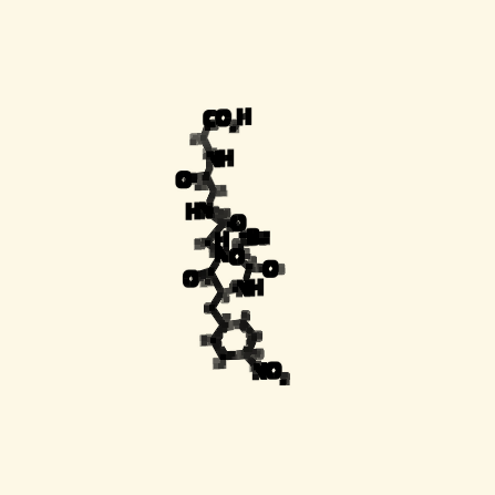 CC(C)(C)OC(=O)NC(Cc1ccc([N+](=O)[O-])cc1)C(=O)NCC(=O)NCC(=O)NCC(=O)O